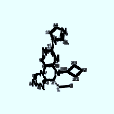 CC[C@@H]1c2nncn2-c2cnc(-n3ccnc3)nc2N1C1CCC1